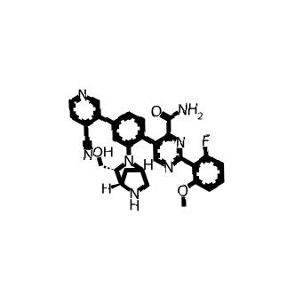 COc1cccc(F)c1-c1ncc(-c2ccc(-c3cnccc3C#N)cc2N2[C@@H]3CN[C@@H](C3)[C@@H]2CO)c(C(N)=O)n1